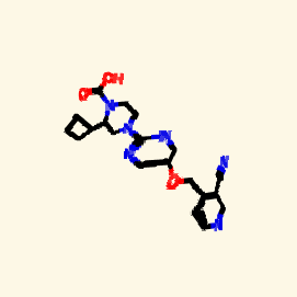 N#Cc1cnccc1COc1cnc(N2CCN(C(=O)O)C(C3CCC3)C2)nc1